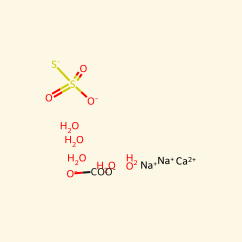 O.O.O.O.O.O=C([O-])[O-].O=S(=O)([O-])[S-].[Ca+2].[Na+].[Na+]